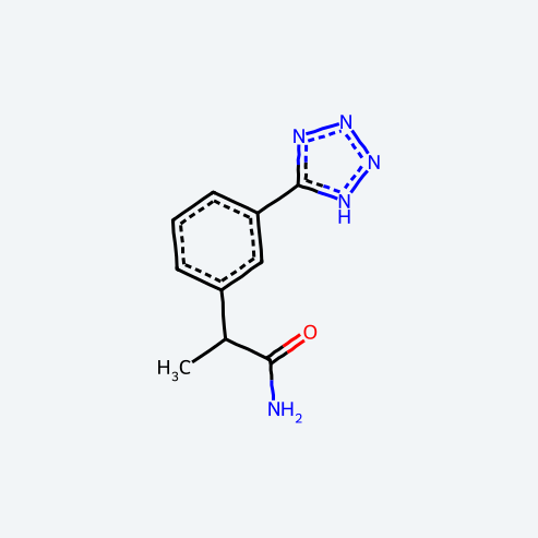 CC(C(N)=O)c1cccc(-c2nnn[nH]2)c1